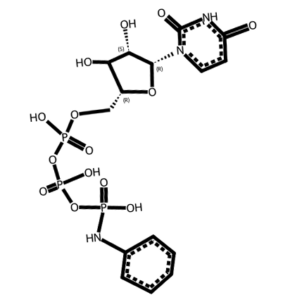 O=c1ccn([C@@H]2O[C@H](COP(=O)(O)OP(=O)(O)OP(=O)(O)Nc3ccccc3)C(O)[C@@H]2O)c(=O)[nH]1